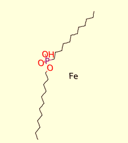 CCCCCCCCCCCCOP(=O)(O)CCCCCCCCCCCC.[Fe]